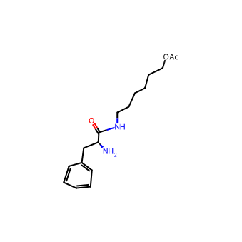 CC(=O)OCCCCCCNC(=O)[C@@H](N)Cc1ccccc1